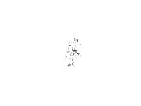 O=C(O)C(F)(F)C(F)(F)C(F)(F)C(F)(F)C(F)(F)C(F)(F)C(F)(F)C(F)(F)F.OCCONOCCO